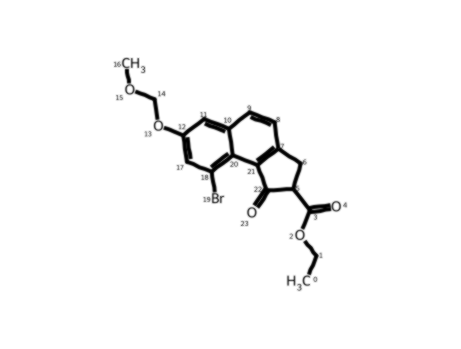 CCOC(=O)C1Cc2ccc3cc(OCOC)cc(Br)c3c2C1=O